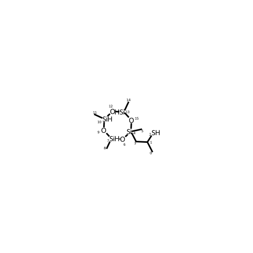 CC(S)C[Si]1(C)O[SiH](C)O[SiH](C)O[SiH](C)O1